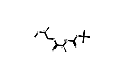 CO[C@@H](C)COC(=O)[C@H](C)NC(=O)OC(C)(C)C